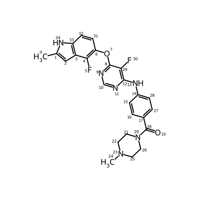 Cc1cc2c(F)c(Oc3ncnc(Nc4ccc(C(=O)N5CCN(C)CC5)cc4)c3F)ccc2[nH]1